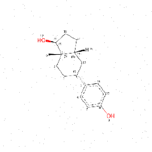 C[C@]12CC[C@@H](c3ccc(O)cc3)C[C@H]1CC[C@@H]2O